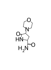 NC(=O)C1CC(N2CCOCC2)C(=O)N1